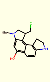 CC(C)(C)N1CC(CCl)c2c1cc(O)c1ccc3c(c21)CCN3